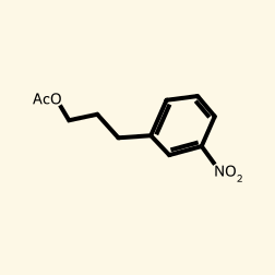 CC(=O)OCCCc1cccc([N+](=O)[O-])c1